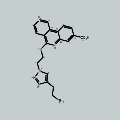 NCCc1cn(CCOc2nc3cc(C(=O)O)ccc3c3cnccc23)nn1